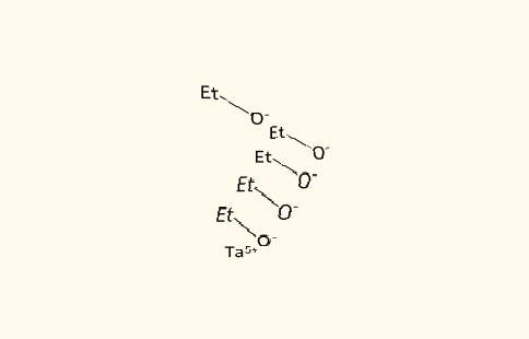 CC[O-].CC[O-].CC[O-].CC[O-].CC[O-].[Ta+5]